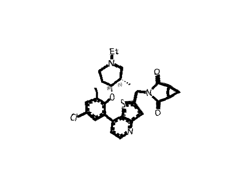 CCN1CC[C@@H](Oc2c(C)cc(Cl)cc2-c2ccnc3cc(CN4C(=O)C5CC5C4=O)sc23)[C@@H](C)C1